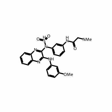 CNCC(=O)Nc1cccc(N(c2nc3ccccc3nc2Nc2cccc(OC)c2)[SH](=O)=O)c1